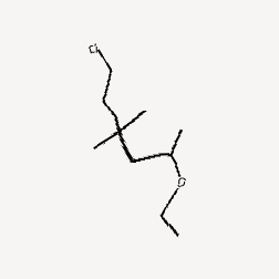 CCOC(C)CC(C)(C)CCCl